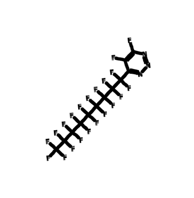 Fc1nnnc(C(F)(F)C(F)(F)C(F)(F)C(F)(F)C(F)(F)C(F)(F)C(F)(F)C(F)(F)C(F)(F)F)c1F